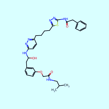 CC(C)CNC(=O)COc1cccc(CC(O)Nc2ccc(CCCCc3nnc(NC(=O)Cc4ccccc4)s3)nn2)c1